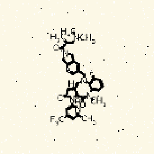 C=C(CN(C)C)C(=O)N1Cc2ccc(CN3C[C@H]4CC(=O)N(c5cc(C(F)(F)F)cc(C)n5)[C@@H]4C(=O)N(C)c4cccc(F)c43)cc2C1